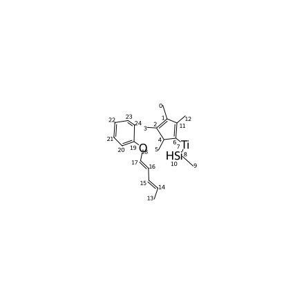 CC1=C(C)C(C)[C]([Ti][SiH](C)C)=C1C.CC=CC=COc1ccccc1